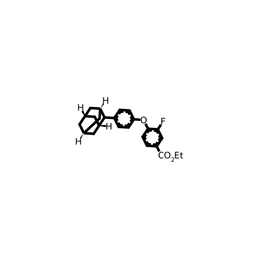 CCOC(=O)c1ccc(Oc2ccc(C3[C@H]4C[C@@H]5C[C@@H](C[C@H]3C5)C4)cc2)c(F)c1